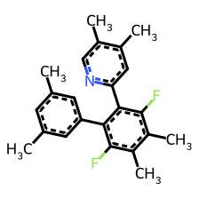 Cc1cc(C)cc(-c2c(F)c(C)c(C)c(F)c2-c2cc(C)c(C)cn2)c1